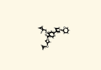 FC1(Cn2nc(N3CC(OC4CC4)C3)c3cnc(-c4ccn(C5CCCCO5)n4)cc32)CC1